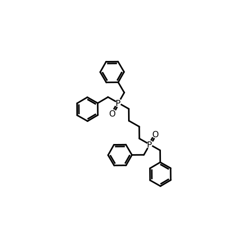 O=P(CCCCP(=O)(Cc1ccccc1)Cc1ccccc1)(Cc1ccccc1)Cc1ccccc1